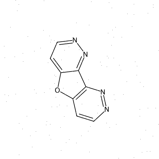 c1cc2oc3ccnnc3c2nn1